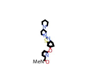 CNC(=O)c1cccc(Oc2ccc3nc(N4CCC(N5CCCCC5)C4)sc3c2)n1